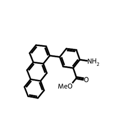 COC(=O)c1cc(-c2cccc3cc4ccccc4cc23)ccc1N